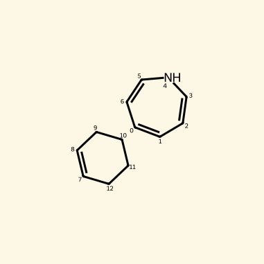 C1=CC=CNC=C1.C1=CCCCC1